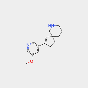 COc1cncc(C2=CC3(CCCNC3)CC2)c1